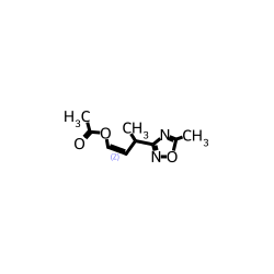 CC(=O)O/C=C\C(C)c1noc(C)n1